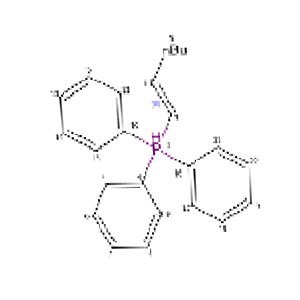 CCCC/C=C/[PH](c1ccccc1)(c1ccccc1)c1ccccc1